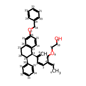 C=C(/C=C\C(=C/C)COCCO)[C@@H]1c2ccc(OCc3ccccc3)cc2CC[C@@H]1c1ccccc1